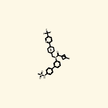 CS(=O)(=O)Nc1ccc(-c2cccc(N(CC34CCC(c5ccc(C(F)(F)F)cn5)(CC3)CC4)C(=O)C34CC(F)(C3)C4)c2)cc1